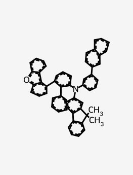 CC1(C)c2ccccc2-c2ccc(N(c3cccc(-c4ccc5ccccc5c4)c3)c3cccc(-c4cccc5oc6ccccc6c45)c3-c3ccccc3)cc21